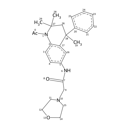 CC(=O)N1c2ccc(NC(=O)CN3CCOCC3)cc2C(C)(c2ccccc2)CC1(C)C